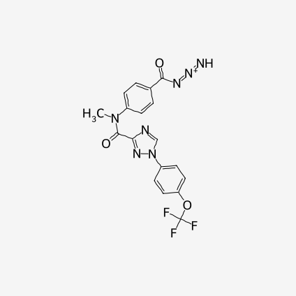 CN(C(=O)c1ncn(-c2ccc(OC(F)(F)F)cc2)n1)c1ccc(C(=O)N=[N+]=N)cc1